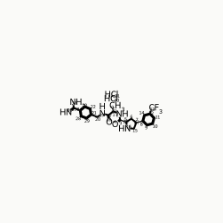 C[C@H](NC(=O)[C@H]1C[C@@H](c2cccc(C(F)(F)F)c2)CN1)C(=O)NCc1ccc(C(=N)N)cc1.Cl.Cl